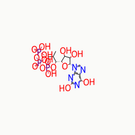 CC(C)C(OP(=O)(O)OP(=O)(O)OP(=O)(O)O)[C@H]1O[C@@H](n2cnc3c(O)nc(O)nc32)[C@H](O)[C@@H]1O